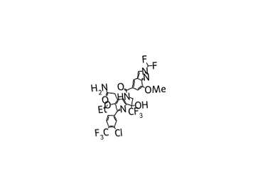 CCOc1c(CC(N)=O)cc([C@@](O)(CNC(=O)c2cc(OC)c3nn(C(F)F)cc3c2)C(F)(F)F)nc1-c1ccc(C(F)(F)F)c(Cl)c1